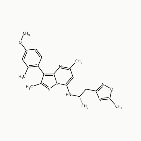 COc1ccc(-c2c(C)nn3c(N[C@@H](C)Cc4noc(C)n4)cc(C)nc23)c(C)c1